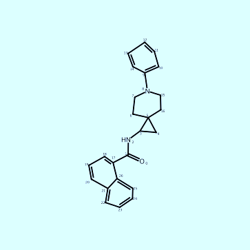 O=C(NC1CC12CCN(c1ccccc1)CC2)c1cccc2ccccc12